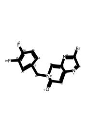 O=c1cc2ncc(Br)nc2cn1Cc1ccc(F)c(F)c1